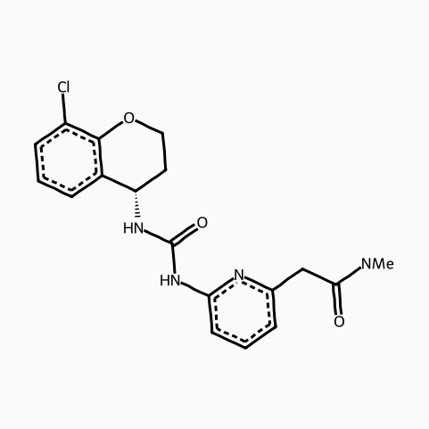 CNC(=O)Cc1cccc(NC(=O)N[C@H]2CCOc3c(Cl)cccc32)n1